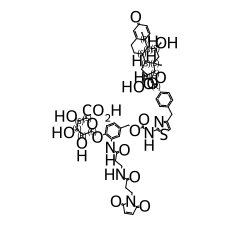 C[C@]12C=CC(=O)C=C1CC[C@@H]1[C@@H]2[C@@H](O)C[C@@]2(C)[C@H]1C[C@H]1O[C@@H](c3ccc(Cc4csc(NC(=O)OCc5ccc(O[C@@H]6O[C@H](C(=O)O)[C@@H](O)[C@H](O)[C@H]6O)c(NC(=O)CCNC(=O)CCN6C(=O)C=CC6=O)c5)n4)cc3)O[C@]12C(=O)CO